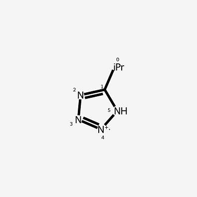 CC(C)C1=NN=[N+]N1